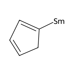 [Sm][C]1=CC=CC1